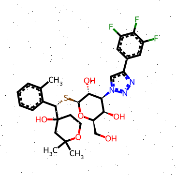 Cc1ccccc1[C@H](S[C@@H]1O[C@H](CO)[C@H](O)[C@H](n2cc(-c3cc(F)c(F)c(F)c3)nn2)[C@H]1O)C1(O)CCOC(C)(C)C1